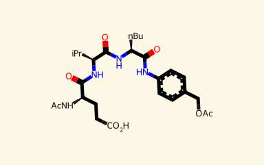 CCCC[C@H](NC(=O)[C@@H](NC(=O)[C@@H](CCC(=O)O)NC(C)=O)C(C)C)C(=O)Nc1ccc(COC(C)=O)cc1